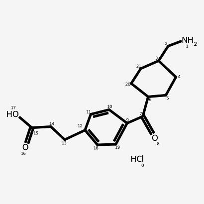 Cl.NCC1CCC(C(=O)c2ccc(CCC(=O)O)cc2)CC1